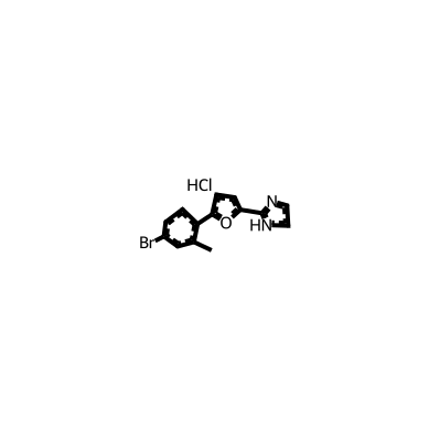 Cc1cc(Br)ccc1-c1ccc(-c2ncc[nH]2)o1.Cl